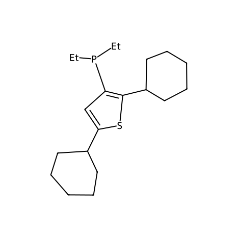 CCP(CC)c1cc(C2CCCCC2)sc1C1CCCCC1